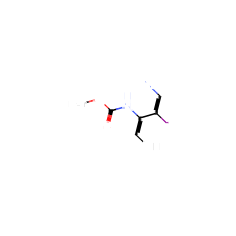 C/C=C(NC(=O)OC(C)(C)C)\C(I)=C/N